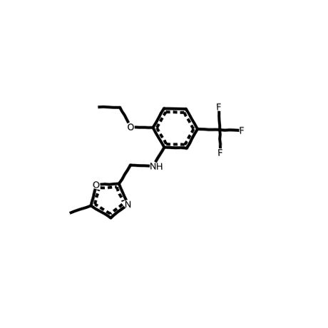 CCOc1ccc(C(F)(F)F)cc1NCc1ncc(C)o1